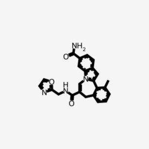 Cc1cccc2c1-c1cc3ccc(C(N)=O)cc3n1C=C(C(=O)NCc1ncco1)C2